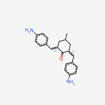 CC1C/C(=C/c2ccc(N)cc2)C(=O)/C(=C/c2ccc(N)cc2)C1